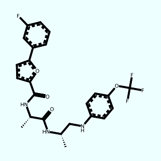 C[C@H](NC(=O)c1ccc(-c2cccc(F)c2)o1)C(=O)N[C@@H](C)CNc1ccc(OC(F)(F)F)cc1